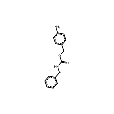 Nc1ccc(COC(=O)N[CH]c2ccccc2)cc1